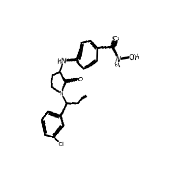 CCC(c1cccc(Cl)c1)N1CCC(Nc2ccc(C(=O)NO)cc2)C1=O